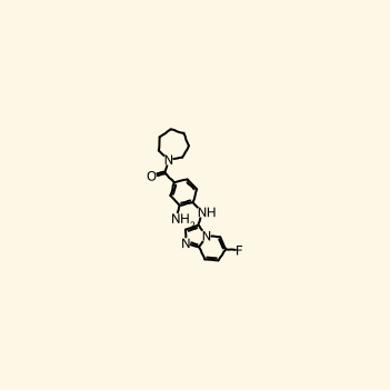 Nc1cc(C(=O)N2CCCCCC2)ccc1Nc1cnc2ccc(F)cn12